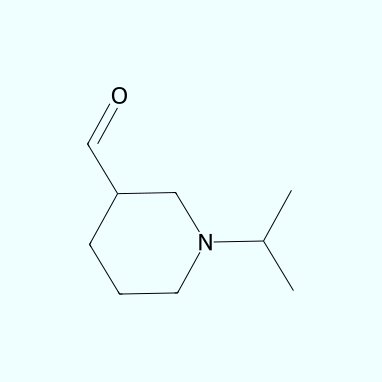 CC(C)N1CCCC(C=O)C1